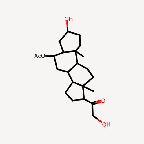 CC(=O)OC1CC2C3CCC(C(=O)CO)C3(C)CCC2C2(C)CCC(O)CC12